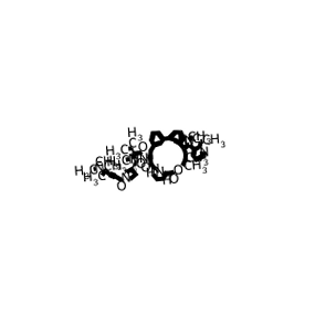 CC(C)c1ncccc1-c1c2c3cc(ccc3n1C)-c1cccc(c1)C[C@H](NC(=O)[C@H](C(C)C)N(C)C(=O)[C@H]1CCN(C(=O)C#CC(C)(C)N(C)C)C1)C(=O)N1CCC[C@H](N1)C(=O)OCC(C)(C)C2